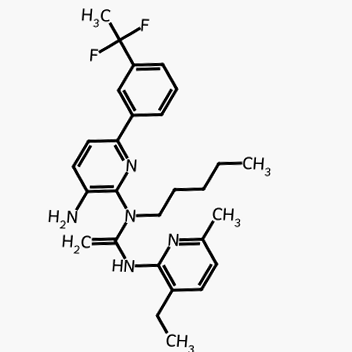 C=C(Nc1nc(C)ccc1CC)N(CCCCC)c1nc(-c2cccc(C(C)(F)F)c2)ccc1N